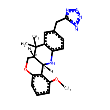 COc1cccc2c1[C@H]1Nc3ccc(Cc4nnn[nH]4)cc3C(C)(C)[C@H]1CO2